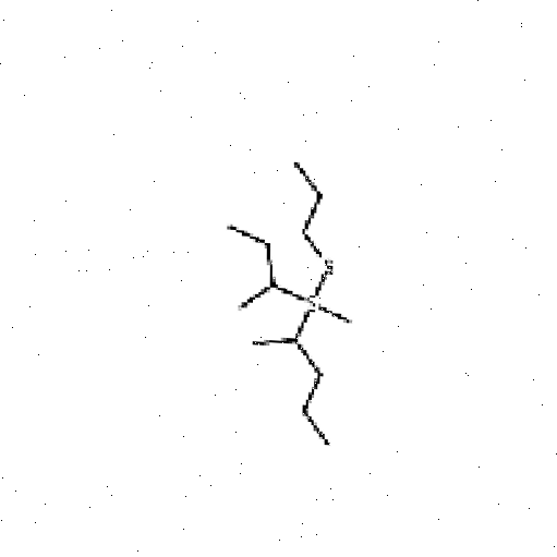 CCCSS(C)(C(C)CC)C(C)CCC